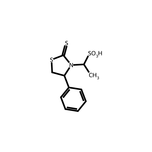 CC(N1C(=S)SCC1c1ccccc1)S(=O)(=O)O